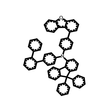 c1ccc(-c2ccccc2-c2ccc(N(c3ccc(-c4cccc5oc6ccccc6c45)cc3)c3cccc4c3-c3ccccc3C4(c3ccccc3)c3ccccc3)cc2)cc1